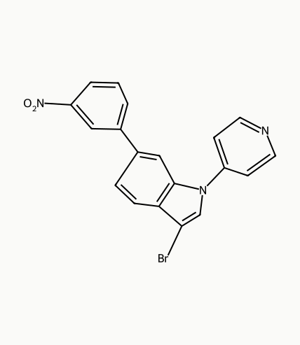 O=[N+]([O-])c1cccc(-c2ccc3c(Br)cn(-c4ccncc4)c3c2)c1